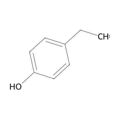 [CH]Cc1ccc(O)cc1